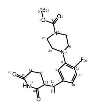 CC(C)(C)OC(=O)N1CCN(c2cc(NC3CCC(=O)NC3=O)ccc2F)CC1